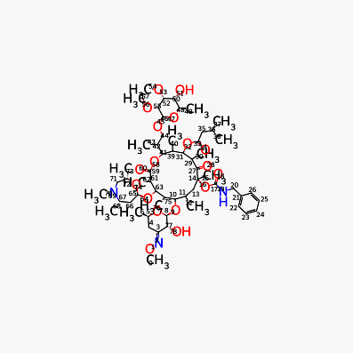 CON=C1C[C@@H](C)O[C@@H](OC2C(C)CC(C)(OC(=O)NCc3ccccc3)C(=O)C(C)C(OC(=O)CC(C)C)C(C)C(C(C)CO[C@@H]3O[C@H](C)[C@@H](O)[C@@H](OC)[C@H]3OC)OC(=O)C(C)C(O[C@H]3C[C@H](C)N(C)C[C@H](C)O3)C2C)[C@@H]1O